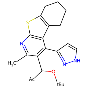 CC(=O)C(OC(C)(C)C)c1c(C)nc2sc3c(c2c1-c1cc[nH]n1)CCCC3